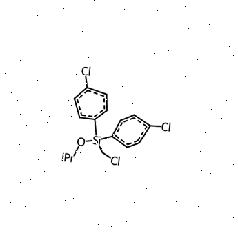 CC(C)O[Si](CCl)(c1ccc(Cl)cc1)c1ccc(Cl)cc1